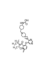 CC(C)N(C(=O)c1cc(F)ccc1Oc1cncnc1N1CC2(CCN(CC3CCC(NC(=O)O)CC3)CC2)C1)C(C)C